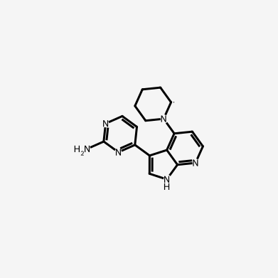 Nc1nccc(-c2c[nH]c3nccc(N4[CH]CCCC4)c23)n1